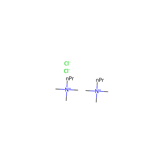 CCC[N+](C)(C)C.CCC[N+](C)(C)C.[Cl-].[Cl-]